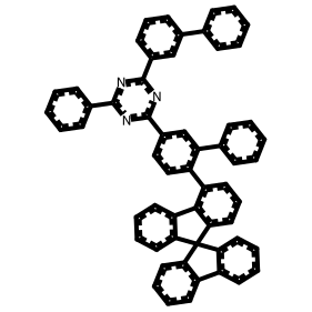 c1ccc(-c2cccc(-c3nc(-c4ccccc4)nc(-c4ccc(-c5cccc6c5-c5ccccc5C65c6ccccc6-c6ccccc65)c(-c5ccccc5)c4)n3)c2)cc1